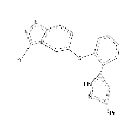 CCCc1cc(-c2ccccc2Sc2ccc3nnc(C(C)C)n3c2)[nH]n1